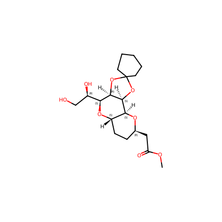 COC(=O)C[C@H]1CC[C@@H]2O[C@@H]([C@H](O)CO)[C@H]3OC4(CCCCC4)O[C@H]3[C@H]2O1